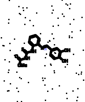 COC(=O)NC(=S)Nc1ccccc1/N=C/c1ccc(O)c(O)c1